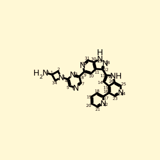 NC1CN(c2cncc(-c3cc4c(-c5cc6c(-c7ccccn7)cncc6[nH]5)n[nH]c4cn3)n2)C1